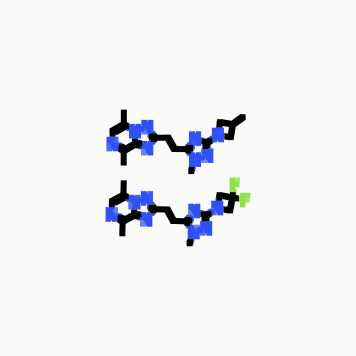 Cc1ncc(C)n2nc(CCc3nc(N4CC(C)C4)nn3C)nc12.Cc1ncc(C)n2nc(CCc3nc(N4CC(F)(F)C4)nn3C)nc12